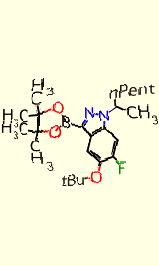 CCCCCC(C)n1nc(B2OC(C)(C)C(C)(C)O2)c2cc(OC(C)(C)C)c(F)cc21